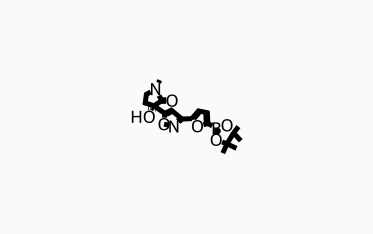 CN1CC[C@@](O)(c2cc(-c3ccc(B4OC(C)(C)C(C)(C)O4)o3)no2)C1=O